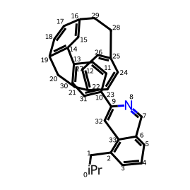 CC(C)Cc1cccc2cnc(-c3ccc(-c4cc5ccc4CCc4ccc(cc4)CC5)cc3)cc12